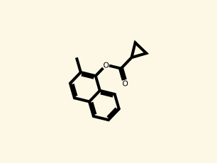 Cc1ccc2ccccc2c1OC(=O)C1CC1